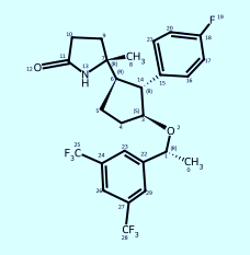 C[C@@H](O[C@H]1CC[C@@H]([C@@]2(C)CCC(=O)N2)[C@@H]1c1ccc(F)cc1)c1cc(C(F)(F)F)cc(C(F)(F)F)c1